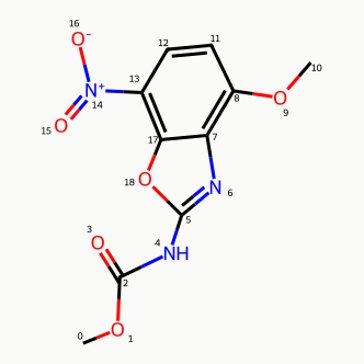 COC(=O)Nc1nc2c(OC)ccc([N+](=O)[O-])c2o1